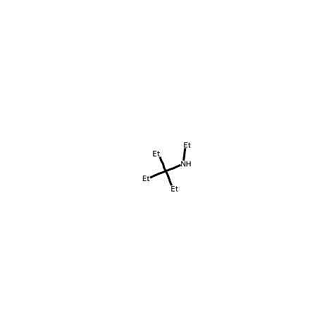 CCNC(CC)(CC)CC